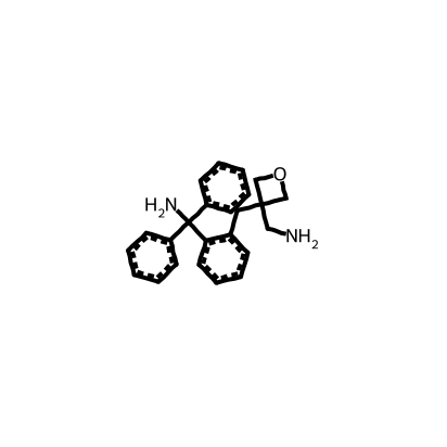 NCC1(Cc2ccccc2C(N)(c2ccccc2)c2ccccc2)COC1